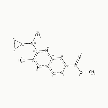 COC(=O)c1ccc2nc(C)c(N(C)C3CC3)nc2c1